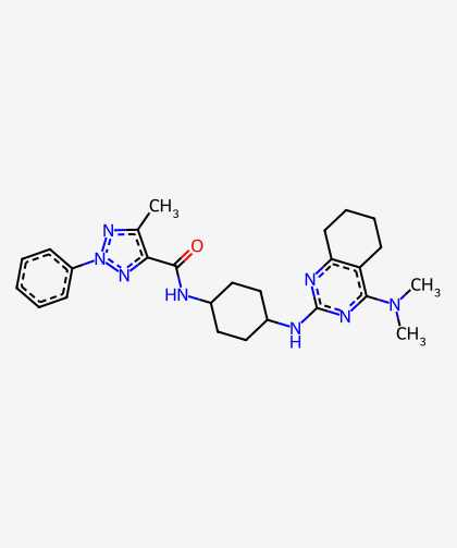 Cc1nn(-c2ccccc2)nc1C(=O)NC1CCC(Nc2nc3c(c(N(C)C)n2)CCCC3)CC1